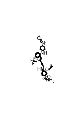 COCCN(C)[C@H]1CC[C@H](Nc2cccc3c2cc(C#CCNc2ccc(S(N)(=O)=O)cc2OCC#N)n3CC(F)(F)F)CC1